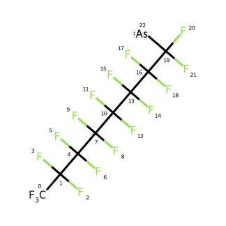 FC(F)(F)C(F)(F)C(F)(F)C(F)(F)C(F)(F)C(F)(F)C(F)(F)C(F)(F)[As]